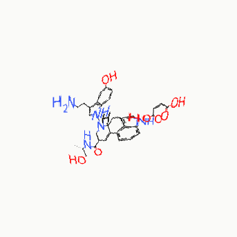 C[C@@H](CO)NC(=O)[C@@H]1C=C2c3cccc4[nH]cc(c34)C[C@H]2N(C)C1.NCCc1c[nH]c2ccc(O)cc12.O=C(O)/C=C\C(=O)O